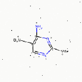 CSc1ncc([N+](=O)[O-])c(N)n1